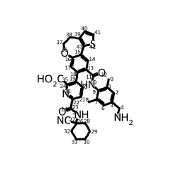 Cc1cc(CN)cc(C)c1NC(=O)c1cc2c(cc1-c1ccc(C(=O)NC3(C#N)CCCCC3)nc1C(=O)O)OCCc1ccsc1-2